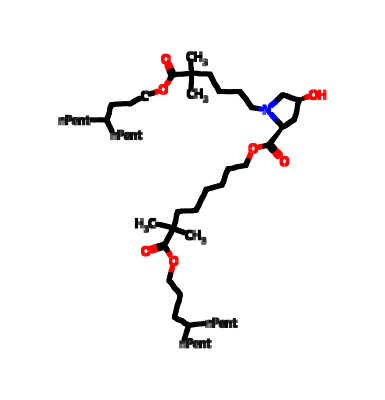 CCCCCC(CCCCC)CCCOC(=O)C(C)(C)CCCCCCOC(=O)[C@@H]1C[C@H](O)CN1CCCCC(C)(C)C(=O)OCCCC(CCCCC)CCCCC